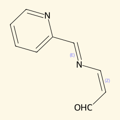 O=C/C=C\N=C\c1ccccn1